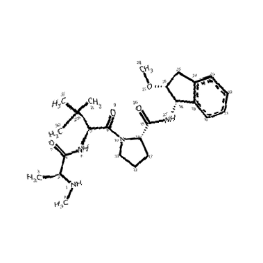 CN[C@@H](C)C(=O)N[C@H](C(=O)N1CCC[C@H]1C(=O)N[C@H]1c2ccccc2C[C@H]1OC)C(C)(C)C